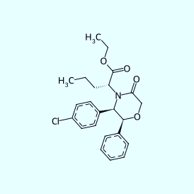 CCC[C@H](C(=O)OCC)N1C(=O)CO[C@@H](c2ccccc2)[C@H]1c1ccc(Cl)cc1